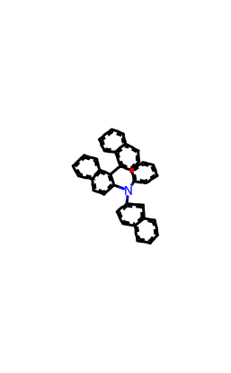 c1ccc(N(c2ccc3ccccc3c2)c2ccc3ccccc3c2-c2cccc3ccccc23)cc1